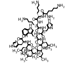 CC(C)C[C@H](NC(=O)[C@H](CC(C)C)NC(=O)[C@H](CC(C)C)NC(=O)[C@H](CC(C)C)NC(=O)[C@H](Cc1c[nH]c2ccccc12)NC(=O)[C@H](Cc1c[nH]cn1)NC(=O)[C@H](CCCCN)NC(=O)[C@H](CCCCN)NC(=O)[C@@H](N)CCCCN)C(=O)N[C@@H](Cc1c[nH]cn1)C(=O)O